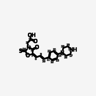 O=C(O)CN1C(=O)/C(=C\C=C\c2ccc(N3CCNCC3)cc2)OC1=S